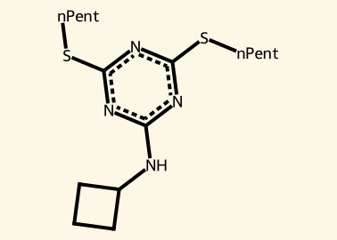 CCCCCSc1nc(NC2CCC2)nc(SCCCCC)n1